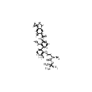 CN(CCOc1c(N)ncnc1-c1ccnc(NC(=O)c2cc3c(cc2F)C2(CC3)CC2)c1CO)C(=O)OC(C)(C)C